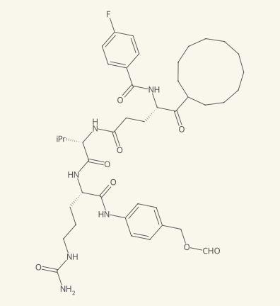 CC(C)[C@H](NC(=O)CC[C@H](NC(=O)c1ccc(F)cc1)C(=O)C1CCCCCCCCCC1)C(=O)N[C@@H](CCCNC(N)=O)C(=O)Nc1ccc(COC=O)cc1